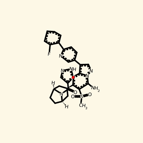 CS(=O)(=O)c1c([C@H]2C[C@H]3CC[C@@H](C2)N3C(=O)c2cn[nH]n2)nc2c(-c3ccc(-c4ccccc4F)nc3)cnn2c1N